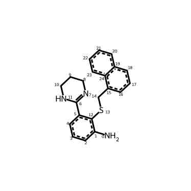 Nc1cccc(C2=NCCCN2)c1SCc1cccc2ccccc12